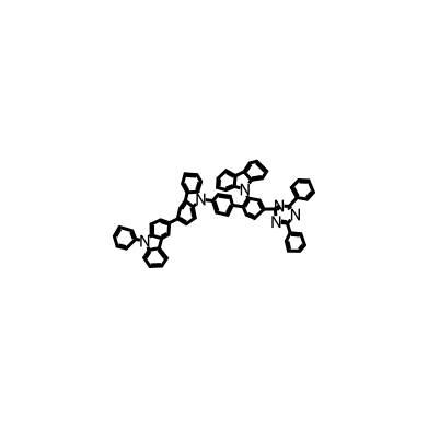 c1ccc(-c2nc(-c3ccccc3)nc(-c3ccc(-c4ccc(-n5c6ccccc6c6cc(-c7ccc8c(c7)c7ccccc7n8-c7ccccc7)ccc65)cc4)c(-n4c5ccccc5c5ccccc54)c3)n2)cc1